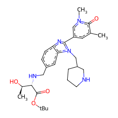 Cc1cc(-c2nc3ccc(CN[C@H](C(=O)OC(C)(C)C)[C@@H](C)O)cc3n2CC2CCCNC2)cn(C)c1=O